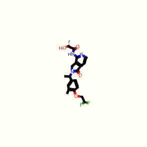 Cc1cc(C(C)N2Cc3c(ccnc3NC(=O)[C@@H](C)O)C2=O)ccc1OCC(F)F